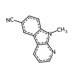 Cn1c2ccc(C#N)cc2c2cccnc21